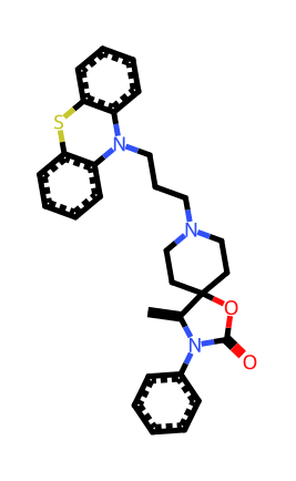 C=C1N(c2ccccc2)C(=O)OC12CCN(CCCN1c3ccccc3Sc3ccccc31)CC2